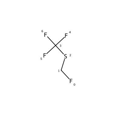 FCSC(F)(F)F